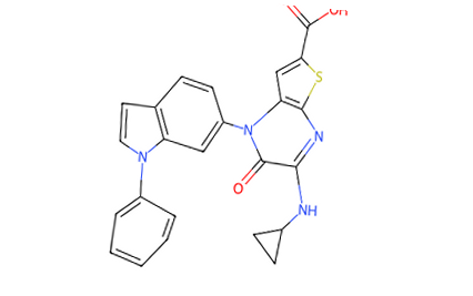 O=C(O)c1cc2c(nc(NC3CC3)c(=O)n2-c2ccc3ccn(-c4ccccc4)c3c2)s1